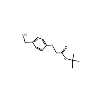 CC(C)(C)OC(=O)CSc1ccc(CO)cc1